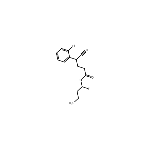 CCCC(F)OC(=O)CCC(C#N)c1ccccc1Cl